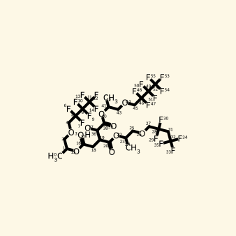 CC(COCC(F)(F)C(F)(F)C(F)(F)F)OC(=O)CC(C(=O)OC(C)COCC(F)(F)CC(F)(F)F)C(O)C(=O)OC(C)COCC(F)(F)C(F)(F)C(F)(F)F